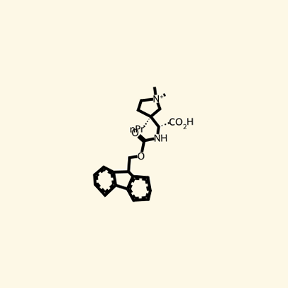 CCC[C@]1([C@@H](NC(=O)OCC2c3ccccc3-c3ccccc32)C(=O)O)CC[N+](C)(C)C1